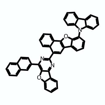 c1ccc2cc(-c3nc(-c4cc5c6cccc(-n7c8ccccc8c8ccccc87)c6oc5c5ccccc45)nc4c3oc3ccccc34)ccc2c1